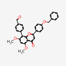 COc1cc(OC)c2c(=O)cc(-c3ccc(OCc4ccccc4)cc3)oc2c1-c1ccc(C=O)cc1